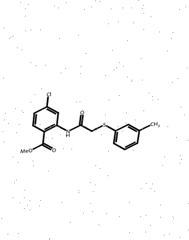 COC(=O)c1ccc(Cl)cc1NC(=O)CSc1cccc(C)c1